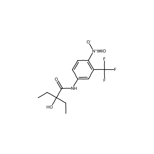 CCC(O)(CC)C(=O)Nc1ccc([N+](=O)[O-])c(C(F)(F)F)c1